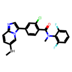 CBc1ccc2ncc(-c3ccc(C(=O)N(C)c4c(F)cccc4F)c(Cl)c3)n2c1